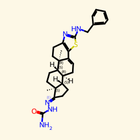 C[C@]12CCc3nc(NCc4ccccc4)sc3C1=CC[C@@H]1[C@@H]2CC[C@]2(C)/C(=N/NC(N)=O)CC[C@@H]12